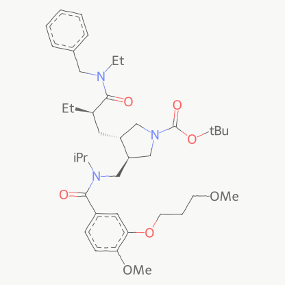 CC[C@H](C[C@@H]1CN(C(=O)OC(C)(C)C)C[C@H]1CN(C(=O)c1ccc(OC)c(OCCCOC)c1)C(C)C)C(=O)N(CC)Cc1ccccc1